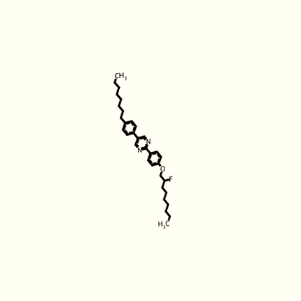 CCCCCCCCc1ccc(-c2cnc(-c3ccc(OCC(F)CCCCCCC)cc3)nc2)cc1